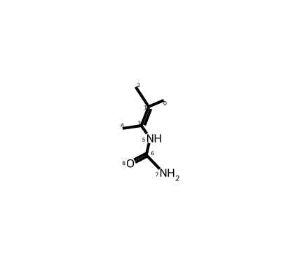 CC(C)=C(C)NC(N)=O